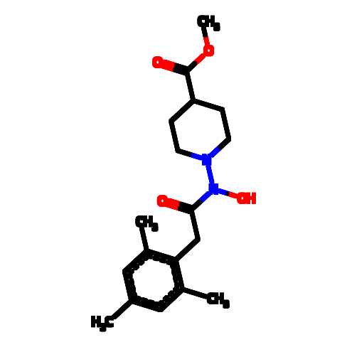 COC(=O)C1CCN(N(O)C(=O)Cc2c(C)cc(C)cc2C)CC1